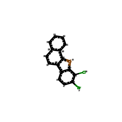 Clc1c(Br)ccc2c1sc1c3ccccc3ccc21